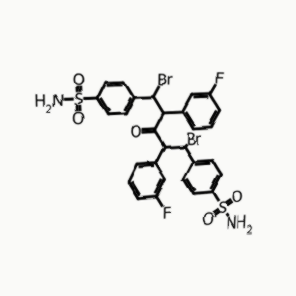 NS(=O)(=O)c1ccc(C(Br)C(C(=O)C(c2cccc(F)c2)C(Br)c2ccc(S(N)(=O)=O)cc2)c2cccc(F)c2)cc1